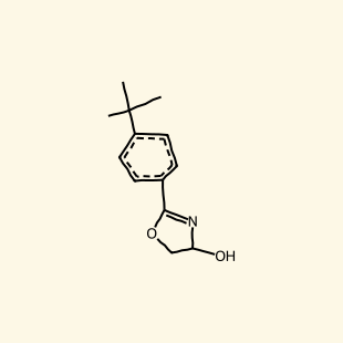 CC(C)(C)c1ccc(C2=NC(O)CO2)cc1